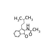 CC(=O)NC1=C(CCC(C)C)c2ccccc2C1=O